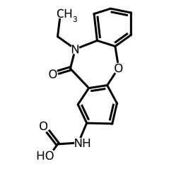 CCN1C(=O)c2cc(NC(=O)O)ccc2Oc2ccccc21